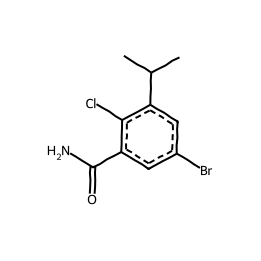 CC(C)c1cc(Br)cc(C(N)=O)c1Cl